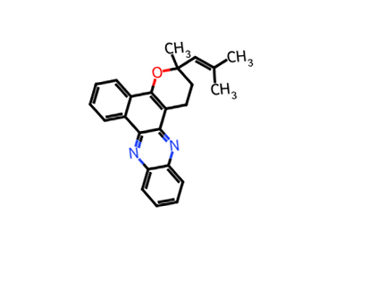 CC(C)=CC1(C)CCc2c(c3ccccc3c3nc4ccccc4nc23)O1